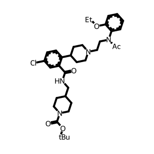 CCOc1ccccc1N(CCN1CCC(c2ccc(Cl)cc2C(=O)NCC2CCN(C(=O)OC(C)(C)C)CC2)CC1)C(C)=O